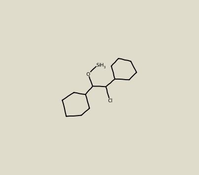 [SiH3]OC(C1CCCCC1)C(Cl)C1CCCCC1